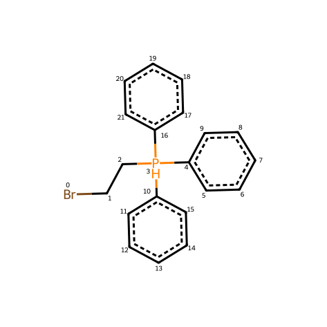 BrCC[PH](c1ccccc1)(c1ccccc1)c1ccccc1